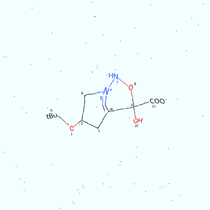 CC(C)(C)OC1CC2=[N+](C1)NOC2(O)C(=O)[O-]